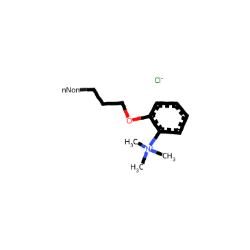 CCCCCCCCCCCCOc1ccccc1[N+](C)(C)C.[Cl-]